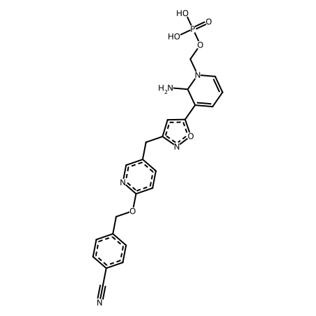 N#Cc1ccc(COc2ccc(Cc3cc(C4=CC=CN(COP(=O)(O)O)C4N)on3)cn2)cc1